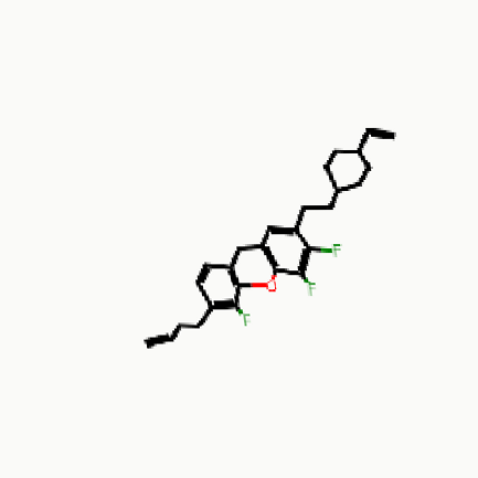 C=CCCc1ccc2c(c1F)Oc1c(cc(CCC3CCC(C=C)CC3)c(F)c1F)C2